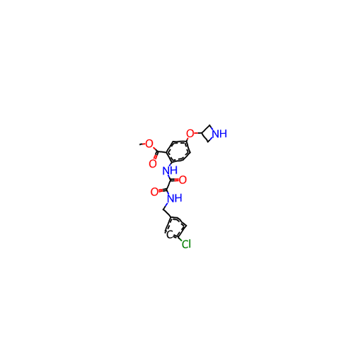 COC(=O)c1cc(OC2CNC2)ccc1NC(=O)C(=O)NCc1ccc(Cl)cc1